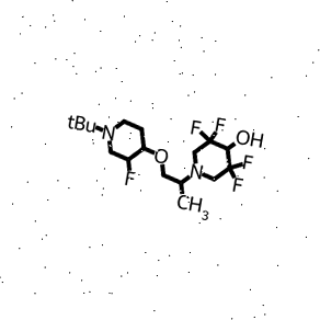 CC(COC1CCN(C(C)(C)C)CC1F)N1CC(F)(F)C(O)C(F)(F)C1